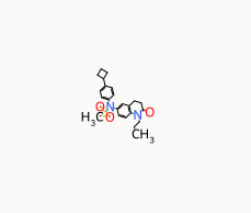 CCCN1C(=O)CCc2cc(N(c3ccc(C4CCC4)cc3)S(C)(=O)=O)ccc21